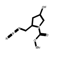 CC(C)(C)OC(=O)N1CC(O)CC1CN=[N+]=[N-]